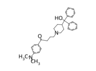 CN(C)c1ccc(C(=O)CCCN2CCC(C(O)(c3ccccc3)c3ccccc3)CC2)cc1